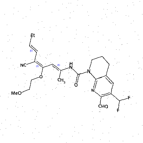 CC/C=C/C(C#N)=C(\C=C(/C)NC(=O)N1CCCc2cc(C(F)F)c(C=O)nc21)OCCOC